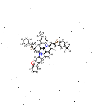 CC(C)(C)c1ccc(N2B3c4cc5cc(-c6ccccc6)sc5cc4-n4c5cc6oc7ccccc7c6cc5c5ccc(c3c54)-c3cc4c(cc32)sc2ccc(C(C)(C)C)cc24)cc1